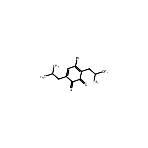 CC(C)CC1=CC(Br)=C(CC(C)C)C(=O)C1=O